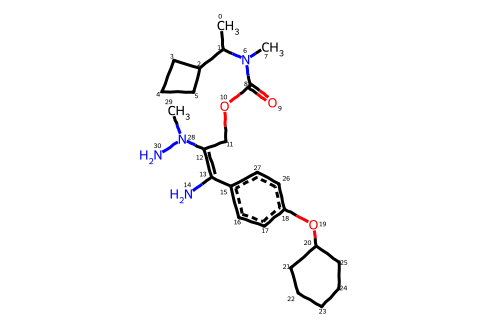 CC(C1CCC1)N(C)C(=O)OC/C(=C(/N)c1ccc(OC2CCCCC2)cc1)N(C)N